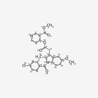 COC(=O)c1cnccc1OC(=O)Cc1c(C)n(C(=O)c2ccc(Cl)cc2)c2ccc(OC)cc12